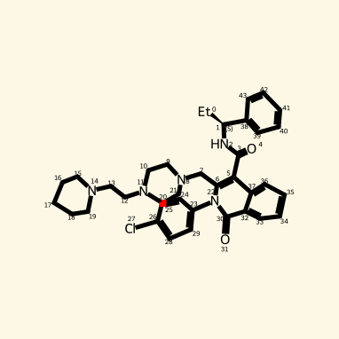 CC[C@H](NC(=O)c1c(CN2CCN(CCN3CCCCC3)CC2)n(-c2ccc(Cl)cc2)c(=O)c2ccccc12)c1ccccc1